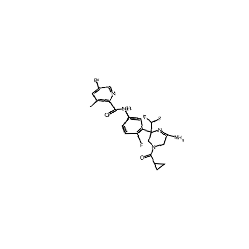 Cc1cc(Br)cnc1C(=O)Nc1ccc(F)c(C2(C(F)F)CN(C(=O)C3CC3)CC(N)=N2)c1